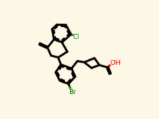 C=C1CC(c2ccc(Br)cc2CC2CC(C(=C)O)C2)Cc2c(Cl)cccc21